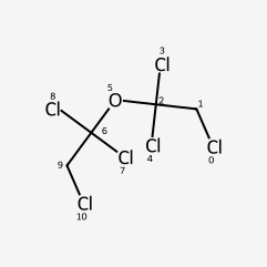 ClCC(Cl)(Cl)OC(Cl)(Cl)CCl